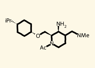 CNCC1CCN(C(C)=O)[C@@H](CO[C@H]2CC[C@@H](C(C)C)CC2)[C@H]1N